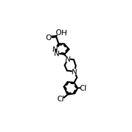 O=C(O)c1ccc(N2CCN(Cc3ccc(Cl)cc3Cl)CC2)nn1